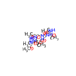 CNC(CCC(C)=O)C(=O)NC(CCC(C)=O)C(=O)NCCCC(CC(C)=O)NC(=O)C(CCC(C)=O)NC(=O)C(CCC(C)=O)NC